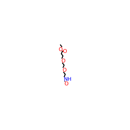 CCOC(=O)CCCOCCCOCCCNC=O